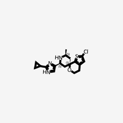 C[C@H]1C[C@@]2(C[C@@H](c3c[nH]c(C4CC4)n3)N1)OCCc1cc(Cl)sc12